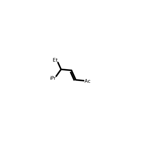 CCC(/C=C/C(C)=O)C(C)C